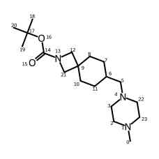 CN1CCN(CC2CCC3(CC2)CN(C(=O)OC(C)(C)C)C3)CC1